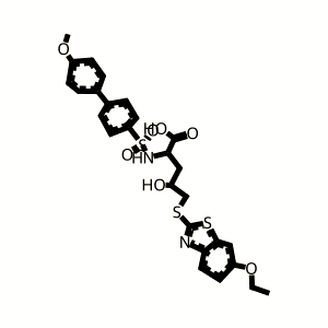 CCOc1ccc2nc(SCC(O)CC(NS(=O)(=O)c3ccc(-c4ccc(OC)cc4)cc3)C(=O)O)sc2c1